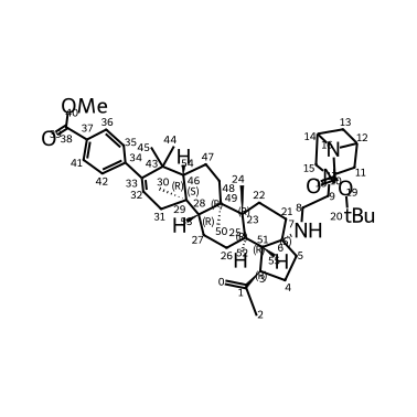 C=C(C)[C@@H]1CC[C@]2(NCCN3CC4CC(C3)N4C(=O)OC(C)(C)C)CC[C@]3(C)[C@H](CC[C@@H]4[C@@]5(C)CC=C(c6ccc(C(=O)OC)cc6)C(C)(C)[C@@H]5CC[C@]43C)[C@@H]12